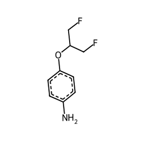 Nc1ccc(OC(CF)CF)cc1